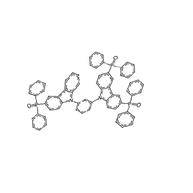 O=P(c1ccccc1)(c1ccccc1)c1ccc2c(c1)c1ccccc1n2-c1cccc(-n2c3ccc(P(=O)(c4ccccc4)c4ccccc4)cc3c3cc(P(=O)(c4ccccc4)c4ccccc4)ccc32)c1